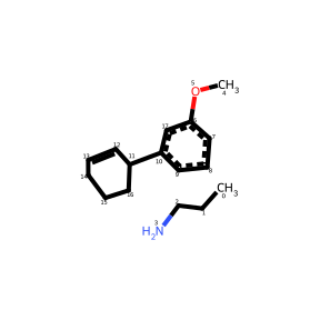 CCCN.COc1cccc(C2C=CCCC2)c1